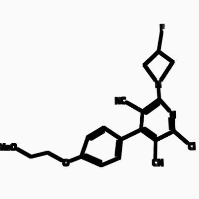 COCCOc1ccc(-c2c(C#N)c(Cl)nc(N3CC(F)C3)c2C#N)cc1